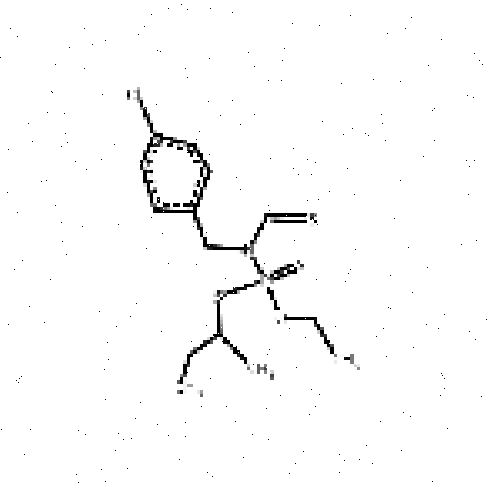 CCOP(=S)(SC(C)CC)N(C=S)Cc1ccc(Cl)cc1